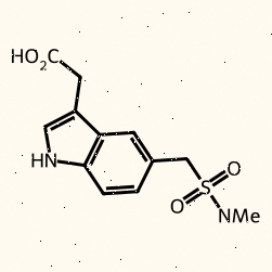 CNS(=O)(=O)Cc1ccc2[nH]cc(CC(=O)O)c2c1